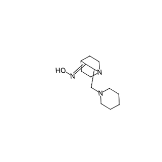 ON=C1C2CCN(CC2)C1CN1CCCCC1